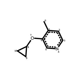 Cc1ccncc1OC1CC1